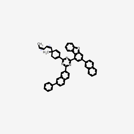 C/C=C\C=C/C1(C)C=CC(c2nc(-c3ccc4ccc(-c5ccccc5)cc4c3)nc(-c3cc(-c4ccc5ccccc5c4)cc4oc5ccccc5c34)n2)=CC1